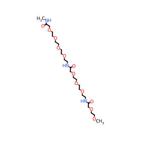 CNC(=O)COCCOCCOCCOCCNC(=O)COCCOCCOCCNC(=O)COCCOC